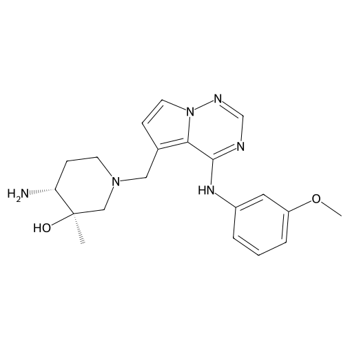 COc1cccc(Nc2ncnn3ccc(CN4CC[C@@H](N)[C@](C)(O)C4)c23)c1